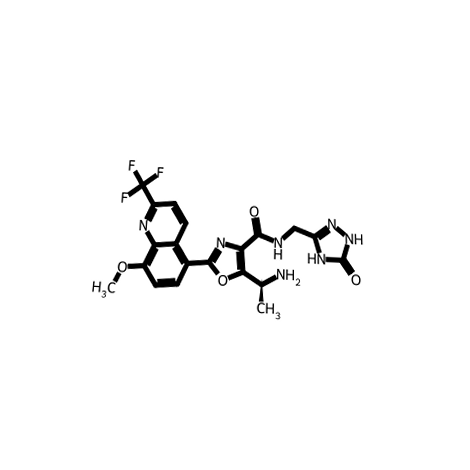 COc1ccc(-c2nc(C(=O)NCc3n[nH]c(=O)[nH]3)c([C@H](C)N)o2)c2ccc(C(F)(F)F)nc12